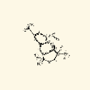 C=O.CC(=O)c1ccc2cc3c(cc2c1)C(C)(C)CCC3(C)C